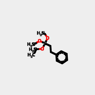 C[SiH2]O[Si](CCc1ccccc1)(O[SiH3])O[SiH3]